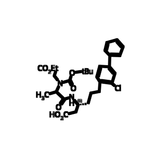 CCOC(=O)CN(C(=O)OC(C)(C)C)C(C)C(=O)N[C@H](CCCc1ccc(-c2ccccc2)cc1Cl)CC(=O)O